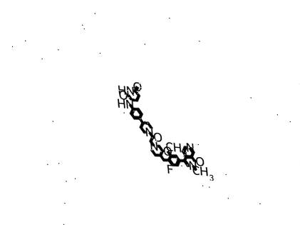 COc1cc(-c2cn(C)c(=O)c3cnccc23)cc(F)c1CC1CCN(CC(=O)N2CCC(c3ccc(NC4CCC(=O)NC4=O)cc3)CC2)CC1